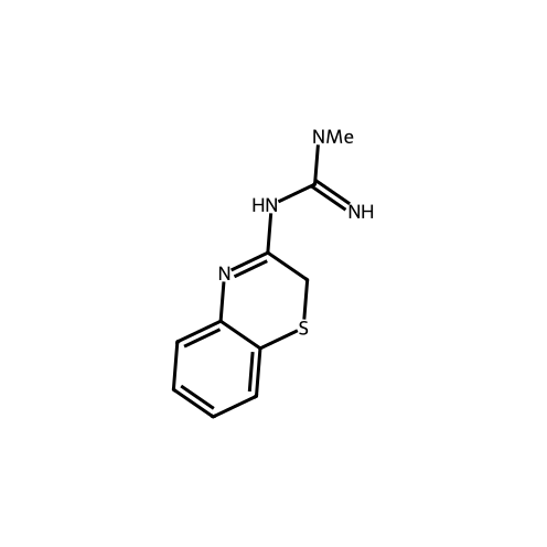 CNC(=N)NC1=Nc2ccccc2SC1